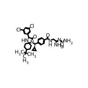 CC(C)(C)C1CCC2(CC1)NC(c1cc(Cl)cc(Cl)c1)C(=O)N2[C@@H](c1ccc(C(=O)NC/C(N)=N/NN)cc1)C1CC1